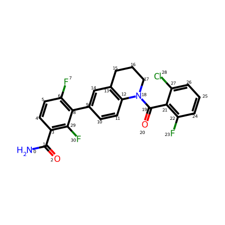 NC(=O)c1ccc(F)c(-c2ccc3c(c2)CCCN3C(=O)c2c(F)cccc2Cl)c1F